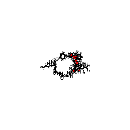 CCCCNC[C@@]1(O)/C=C/C(=O)NCC(=O)OC[C@@H]2NC(=O)[C@@H]([C@@H](C)O)NC(=O)[C@H](Cc3ccccc3)N(C)C(=O)[C@@H](NC(=O)[C@@H]([C@@H](C)CC)NC(=O)[C@@H](NC(=O)[C@H](C)[C@H](O)C(C)C)[C@@H](C)OC2=O)C2=CC=C(CC2)O[C@@H]1C